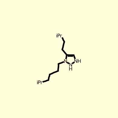 CC(C)CCCCN1NNC=C1CCC(C)C